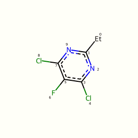 CCc1nc(Cl)c(F)c(Cl)n1